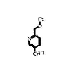 CCOCc1ccc(C=O)cn1